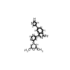 C[C@@H]1CN(c2cc(-c3n[nH]c4ccc(-c5cn[nH]c5)cc34)ncn2)C[C@H](C)O1